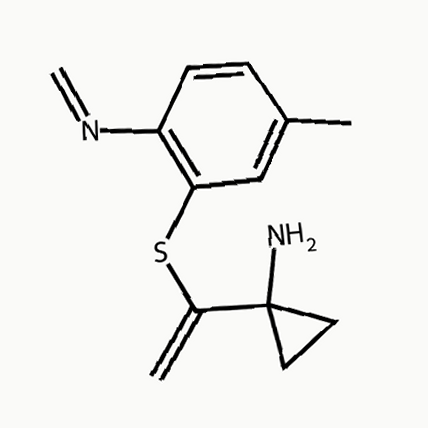 C=Nc1ccc(C)cc1SC(=C)C1(N)CC1